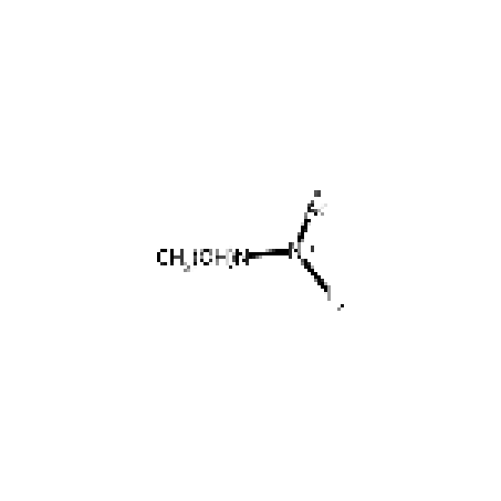 CC(=O)N(I)N(C)O